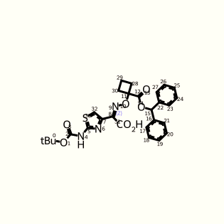 CC(C)(C)OC(=O)Nc1nc(/C(=N/OC2(C(=O)OC(c3ccccc3)c3ccccc3)CCC2)C(=O)O)cs1